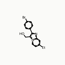 CCc1ccn2c(CO)c(-c3ccc(Br)cc3)nc2c1